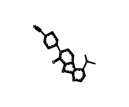 CN(C)c1ccnc2sc3c(=O)n(-c4ccc(C#N)cc4)ccc3c12